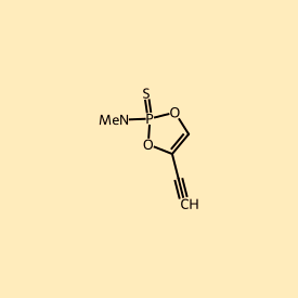 C#CC1=COP(=S)(NC)O1